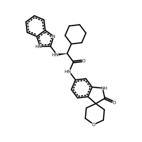 O=C(Nc1ccc2c(c1)NC(=O)C21CCOCC1)[C@@H](Nc1nc2ccccc2[nH]1)C1CCCCC1